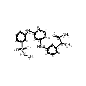 CNS(=O)(=O)c1cccc(Nc2cc(Nc3cccc(C(C)C(N)=O)c3)ncn2)c1